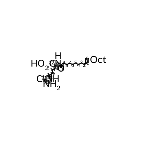 CCCCCCCC/C=C\CCCCCCCC(=O)N[C@@H](CCCCNC(N)Cl)C(=O)O